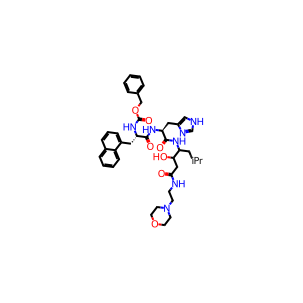 CC(C)CC(NC(=O)[C@H](Cc1c[nH]cn1)NC(=O)[C@H](Cc1cccc2ccccc12)NC(=O)OCc1ccccc1)C(O)CC(=O)NCCN1CCOCC1